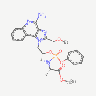 CCCCOC(=O)[C@H](C)NP(=O)(Oc1ccccc1)O[C@H](C)Cn1c(COCC)nc2c(N)nc3ccccc3c21